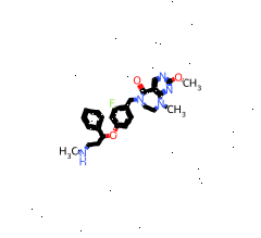 CNCCC(Oc1ccc(CN2CCN(C)c3nc(OC)ncc3C2=O)c(F)c1)c1ccccc1